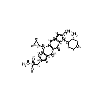 C[C@@H]1COCCC1n1c(C#N)cc2cnc(Nc3cn(CS(C)(=O)=O)nc3OC3CC3)nc21